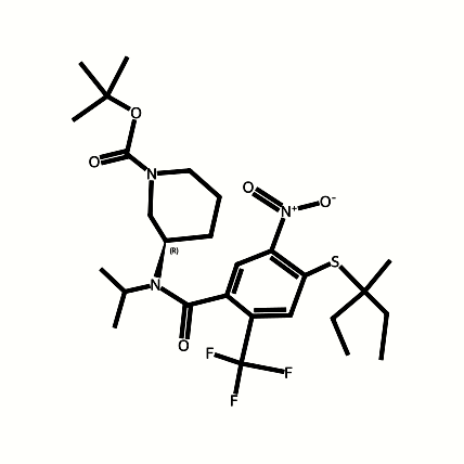 CCC(C)(CC)Sc1cc(C(F)(F)F)c(C(=O)N(C(C)C)[C@@H]2CCCN(C(=O)OC(C)(C)C)C2)cc1[N+](=O)[O-]